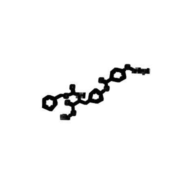 CCCCCCCOc1ccc(C(=O)Oc2ccc(CC(NC(=O)OCc3ccccc3)C(=O)OC(C)(C)C)cc2)cc1